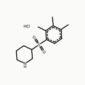 Cc1ccc(S(=O)(=O)C2CCCNC2)c(C)c1C.Cl